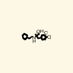 CC(CO)(Cc1ccc(Cl)c(Cl)c1)NCCc1ccccc1